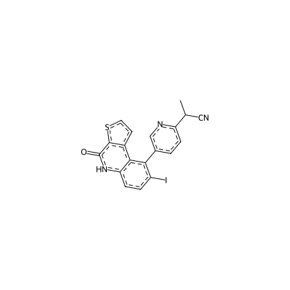 CC(C#N)c1ccc(-c2c(I)ccc3[nH]c(=O)c4sccc4c23)cn1